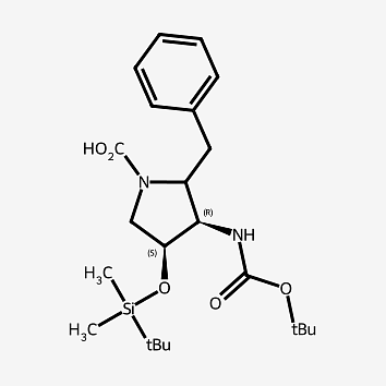 CC(C)(C)OC(=O)N[C@@H]1C(Cc2ccccc2)N(C(=O)O)C[C@@H]1O[Si](C)(C)C(C)(C)C